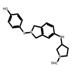 O=CN1CCC(Nc2ccc3c(c2)CN(Sc2ccc(O)cc2)C3)C1